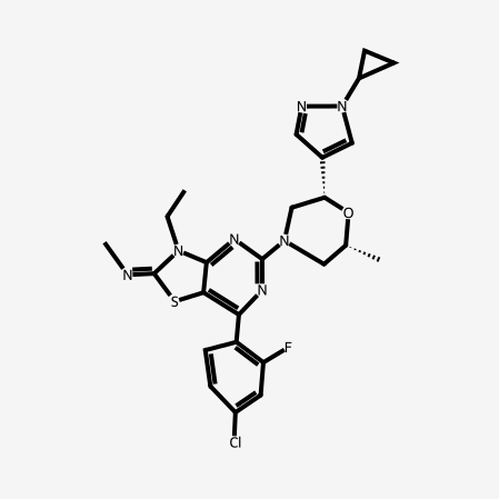 CCn1/c(=N\C)sc2c(-c3ccc(Cl)cc3F)nc(N3C[C@@H](C)O[C@@H](c4cnn(C5CC5)c4)C3)nc21